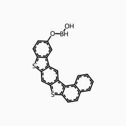 OBOc1ccc2sc3cc4sc5ccc6ccccc6c5c4cc3c2c1